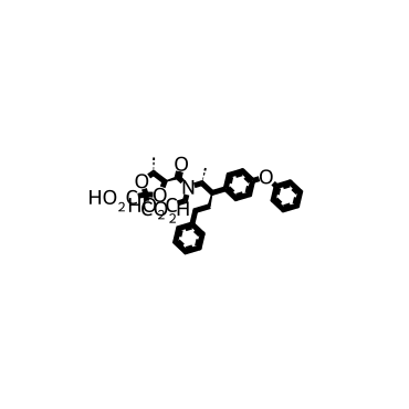 C[C@H]([C@H](CCc1ccccc1)c1ccc(Oc2ccccc2)cc1)N(CC(=O)O)C(=O)[C@H]1OC(C(=O)O)(C(=O)O)O[C@@H]1C